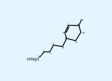 CCCCCCCCCCCC1C=CC(C)CC1